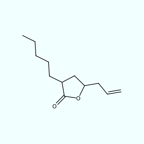 C=CCC1CC(CCCCC)C(=O)O1